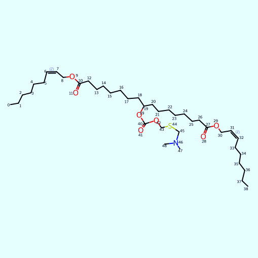 CCCCCC/C=C\COC(=O)CCCCCCCC(CCCCCCCC(=O)OC/C=C\CCCCCC)OC(=O)OCSCN(C)C